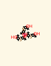 Cc1cc(O)c(C(C)(C)C)cc1Sc1cc(C(C)(C)C)c(OP(Oc2cc(C)c(Sc3cc(C(C)(C)C)c(O)cc3C)cc2C(C)(C)C)Oc2cc(C)c(Sc3cc(C(C)(C)C)c(O)cc3C)cc2C(C)(C)C)cc1C